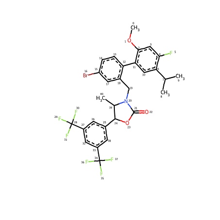 COc1cc(F)c(C(C)C)cc1-c1ccc(Br)cc1CN1C(=O)OC(c2cc(C(F)(F)F)cc(C(F)(F)F)c2)C1C